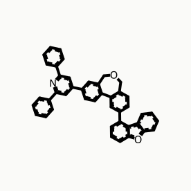 c1ccc(-c2cc(-c3ccc4c(c3)COCc3ccc(-c5cccc6oc7ccccc7c56)cc3-4)cc(-c3ccccc3)n2)cc1